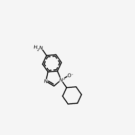 Nc1ccc2c(c1)N=C[N+]2([O-])C1CCCCC1